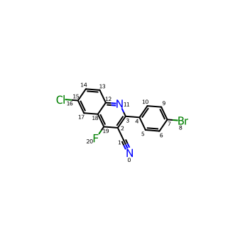 N#Cc1c(-c2ccc(Br)cc2)nc2ccc(Cl)cc2c1F